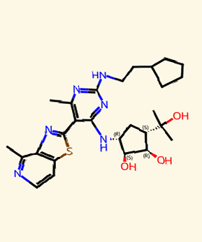 Cc1nc(NCCC2CCCC2)nc(N[C@@H]2C[C@H](C(C)(C)O)[C@@H](O)[C@H]2O)c1-c1nc2c(C)nccc2s1